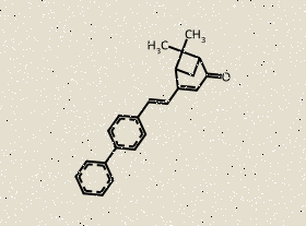 CC1(C)C2CC1C(C=Cc1ccc(-c3ccccc3)cc1)=CC2=O